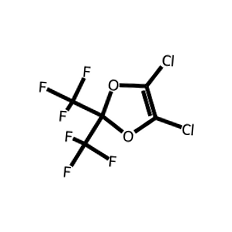 FC(F)(F)C1(C(F)(F)F)OC(Cl)=C(Cl)O1